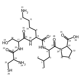 CC(C)CC(NC(=O)C(CCCCN)NC(=O)C(CO)NC(=O)C(N)CS)C(=O)N1CCCC1C(=O)O